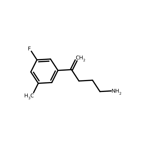 C=C(CCCN)c1cc(C)cc(F)c1